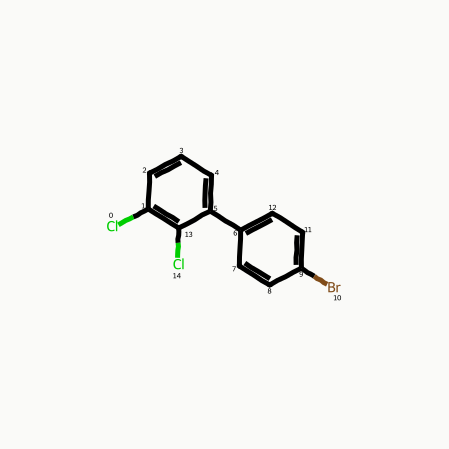 Clc1cccc(-c2ccc(Br)cc2)c1Cl